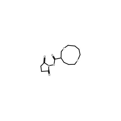 O=C(ON1C(=O)CCC1=O)C1CCCCCCCCCC1